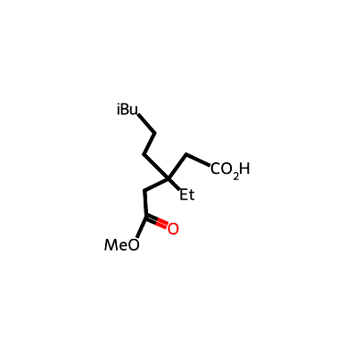 CCC(C)CCC(CC)(CC(=O)O)CC(=O)OC